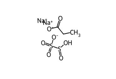 CCC(=O)[O-].O=S(O)S(=O)(=O)[O-].[Na+].[Na+]